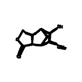 COC1C(O)C2CC1C1C(=O)OCC21